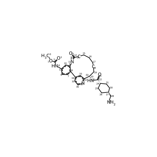 COC(=O)Nc1ccc2c(c1)NC(=O)CCCCCC[C@H](NC(=O)[C@H]1CC[C@H](CN)CC1)c1cc-2ccn1